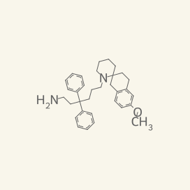 COc1ccc2c(c1)CCC1(CCCCN1CCCC(CCN)(c1ccccc1)c1ccccc1)C2